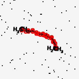 C=C(C)C(=O)OCCCCCCOc1ccc(C(=O)Oc2ccc(-c3ccc(C(=O)OCCCCCCOC(=O)CCCOCCCOc4ccc(C(=O)OCCCOC(=O)CCC(=O)OCCCCCCOC(=O)c5ccc(-c6ccc(OC(=O)c7ccc(OCCCCCCOC(=O)C(=C)C)cc7)cc6)cc5)cc4)cc3)cc2)cc1